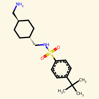 CC(C)(C)c1ccc(S(=O)(=O)NC[C@H]2CC[C@H](CN)CC2)cc1